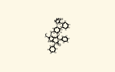 CCc1nc2c(c(=O)n(-c3ccccc3)c(=O)n2-c2ccccc2)n1Cc1ccc(-c2ccccc2-c2nnn[nH]2)cc1